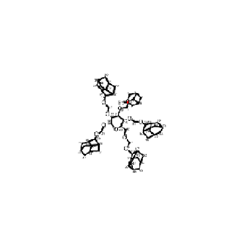 CCC1CC2CC(C1)C2OCO[C@@H]1[C@@H](OCOC2C3CC4CC(C3)CC2C4)[C@@H](OCOC2C3CC4CC(C3)CC2C4)O[C@H](COCOC2C3CC4CC(C3)CC2C4)[C@H]1OCOC1C2CC3CC(C2)CC1C3